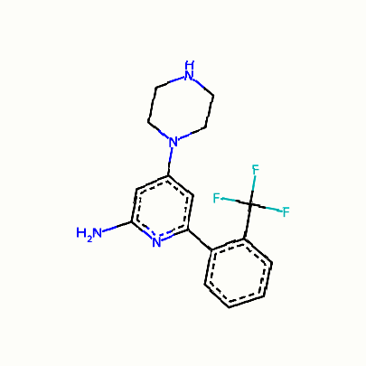 Nc1cc(N2CCNCC2)cc(-c2ccccc2C(F)(F)F)n1